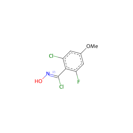 COc1cc(F)c(/C(Cl)=N/O)c(Cl)c1